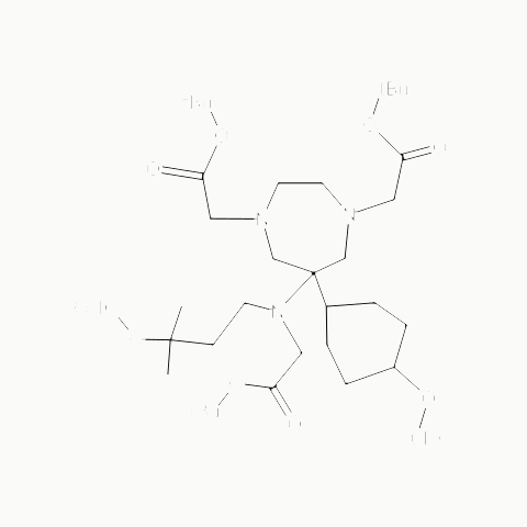 CC(C)(C)OC(=O)CN1CCN(CC(=O)OC(C)(C)C)CC(C2CCC(OC=O)CC2)(N(CCC(C)(C)OC=O)CC(=O)OC(C)(C)C)C1